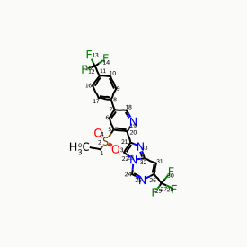 CCS(=O)(=O)c1cc(-c2ccc(C(F)(F)F)cc2)cnc1-c1cn2cnc(C(F)(F)F)cc2n1